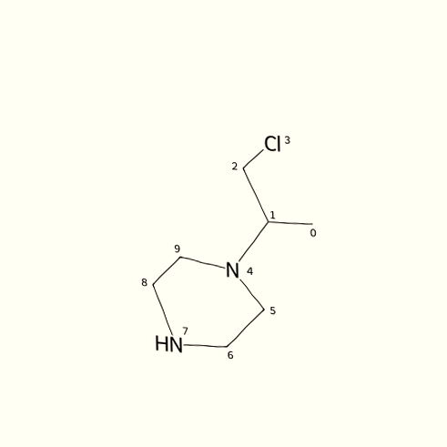 CC(CCl)N1CCNCC1